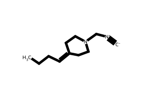 [C-]#[N+]CN1CCC(=CCCC)CC1